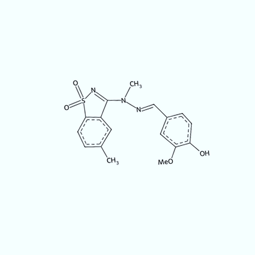 COc1cc(C=NN(C)C2=NS(=O)(=O)c3ccc(C)cc32)ccc1O